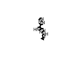 FC1(CNc2ncc3c(-c4cnc5nccn5c4)c[nH]c3n2)CC1